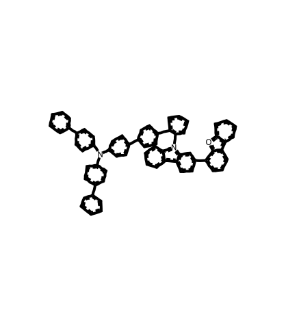 c1ccc(-c2ccc(N(c3ccc(-c4ccccc4)cc3)c3ccc(-c4ccc(-c5ccccc5-n5c6ccccc6c6ccc(-c7cccc8c7oc7ccccc78)cc65)cc4)cc3)cc2)cc1